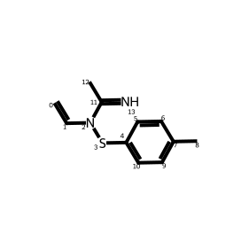 C=CN(Sc1ccc(C)cc1)C(C)=N